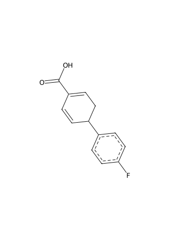 O=C(O)C1=CCC(c2ccc(F)cc2)C=C1